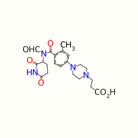 Cc1cc(N2CCN(CCC(=O)O)CC2)ccc1C(=O)N(C=O)C1CCC(=O)NC1=O